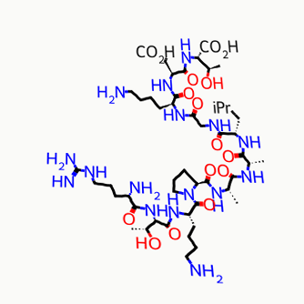 CC(C)C[C@H](NC(=O)[C@H](C)NC(=O)[C@H](C)NC(=O)[C@@H]1CCCN1C(=O)[C@H](CCCCN)NC(=O)[C@@H](NC(=O)[C@@H](N)CCCNC(=N)N)[C@@H](C)O)C(=O)NCC(=O)N[C@@H](CCCCN)C(=O)N[C@@H](CC(=O)O)C(=O)N[C@H](C(=O)O)[C@@H](C)O